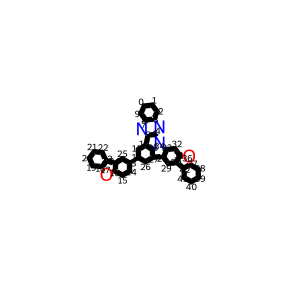 c1ccc2nc3c(nc2c1)c1cc(-c2ccc4oc5ccccc5c4c2)cc2c4cc5c(cc4n3c21)oc1ccccc15